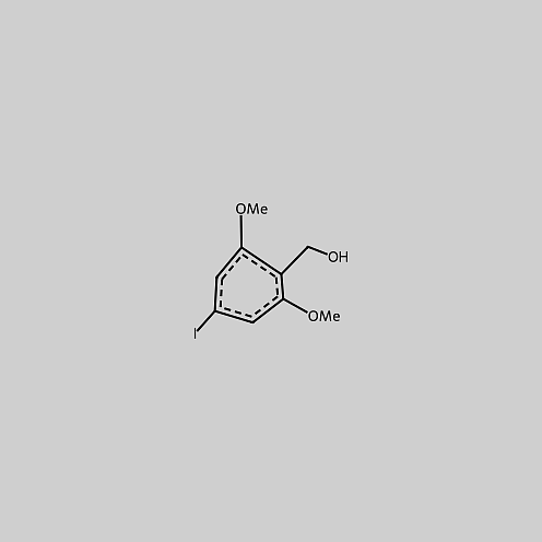 COc1cc(I)cc(OC)c1CO